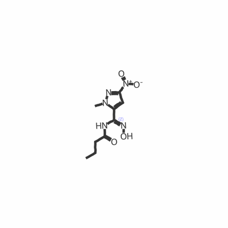 CCCC(=O)N/C(=N\O)c1cc([N+](=O)[O-])nn1C